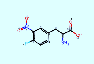 NC(Cc1ccc(F)c([N+](=O)[O-])c1)C(=O)O